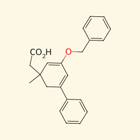 CC1(CC(=O)O)C=C(OCc2ccccc2)C=C(c2ccccc2)C1